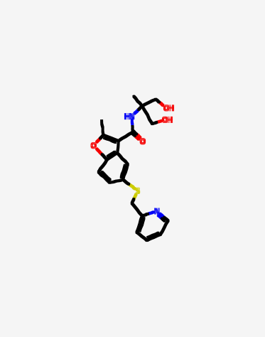 Cc1oc2ccc(SCc3ccccn3)cc2c1C(=O)NC(C)(CO)CO